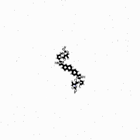 COC(=O)/N=C(/C(=O)N1[C@H](C)CC[C@H]1c1nc(-c2ccc(-c3ccc4cc(-c5c[nH]c([C@@H]6CC[C@@H](C)N6C(=O)[C@@H](NC(=O)OC)C(C)C)n5)ccc4c3)cc2)c[nH]1)C(C)C